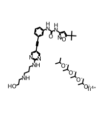 CC(C)(C)c1cc(NC(=O)Nc2cccc(C#Cc3cnc(NCCCNCCO)nc3)c2)no1.CC(C)[O-].CC(C)[O-].CC(C)[O-].CC(C)[O-].[Ti+4]